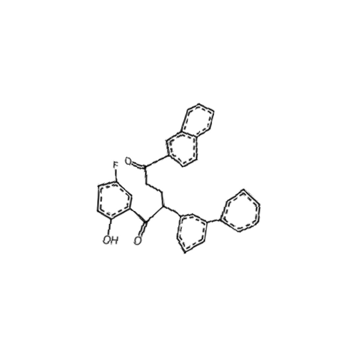 O=C(CCC(C(=O)c1cc(F)ccc1O)c1cccc(-c2ccccc2)c1)c1ccc2ccccc2c1